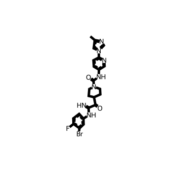 Cc1cn(-c2ccc(NC(=O)N3CCC(C(=O)C(=N)Nc4ccc(F)c(Br)c4)CC3)cn2)cn1